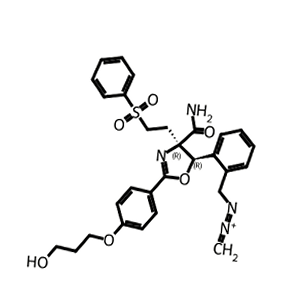 C=[N+]=NCc1ccccc1[C@H]1OC(c2ccc(OCCCO)cc2)=N[C@@]1(CCS(=O)(=O)c1ccccc1)C(N)=O